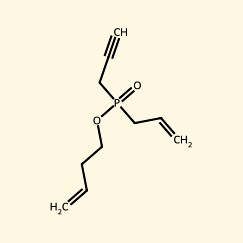 C#CCP(=O)(CC=C)OCCC=C